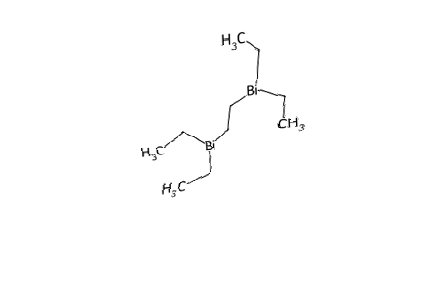 C[CH2][Bi]([CH2]C)[CH2][CH2][Bi]([CH2]C)[CH2]C